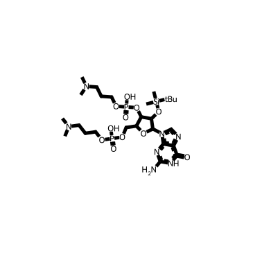 CN(C)CCCOP(=O)(O)OCC1OC(n2cnc3c(=O)[nH]c(N)nc32)C(O[Si](C)(C)C(C)(C)C)C1OP(=O)(O)OCCCN(C)C